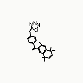 C=C(c1ccc(Cc2nnno2)cc1)c1cc2c(cc1C)C(C)(C)C=CC2(C)C